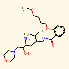 COCCCCOc1ccccc1C(=O)NCC(CC(N)C(O)CN1CCOCC1)C(C)C